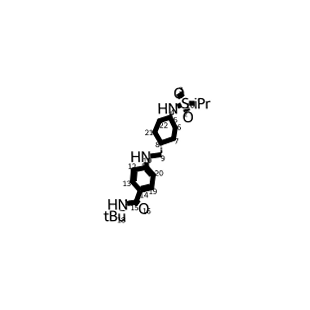 CC(C)S(=O)(=O)N[C@H]1CC[C@H](CNc2ccc(C(=O)NC(C)(C)C)cc2)CC1